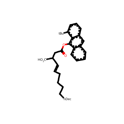 CCCCCCCCCCCCCCC=CC(CC(=O)Oc1c2ccccc2cc2cccc(C(C)(C)C)c12)C(=O)O